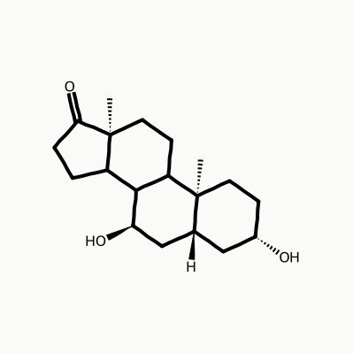 C[C@]12CCC3C(C1CCC2=O)[C@H](O)C[C@H]1C[C@@H](O)CC[C@]31C